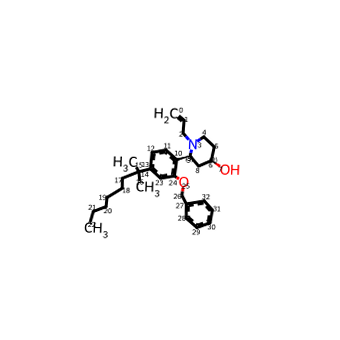 C=CCN1CC[C@@H](O)C[C@H]1c1ccc(C(C)(C)CCCCCC)cc1OCc1ccccc1